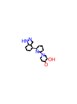 O=c1ccn(-c2cccc(-c3cccc4[nH]ncc34)n2)cc1O